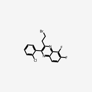 Fc1ccc2nc(-c3ccccc3Cl)c(CCBr)nc2c1F